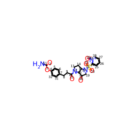 NC(=O)Oc1ccc(C[CH]C(=O)N2CCC3C2C(=O)CN3S(=O)(=O)c2cccc[n+]2[O-])cc1